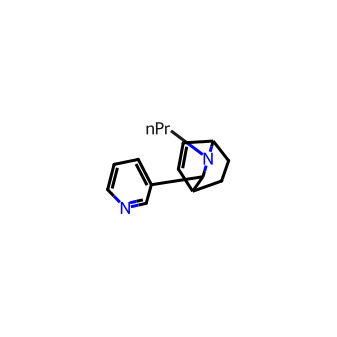 CCCN1C2C=CC(CC2)C1c1cccnc1